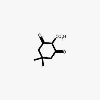 CC1(C)CC(=O)C(C(=O)O)C(=O)C1